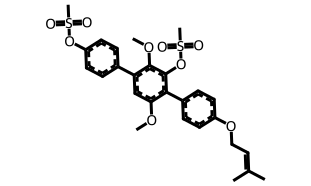 COc1cc(-c2ccc(OS(C)(=O)=O)cc2)c(OC)c(OS(C)(=O)=O)c1-c1ccc(OCC=C(C)C)cc1